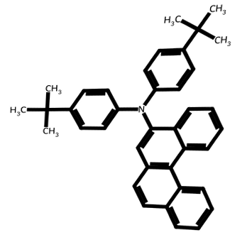 CC(C)(C)c1ccc(N(c2ccc(C(C)(C)C)cc2)c2cc3ccc4ccccc4c3c3ccccc23)cc1